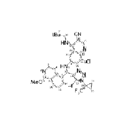 COc1nccc2c(C(Nc3cc(Cl)c4ncc(C#N)c(NCC(C)(C)C)c4c3)c3nnn(C4(C(F)(F)F)CC4)c3I)cccc12